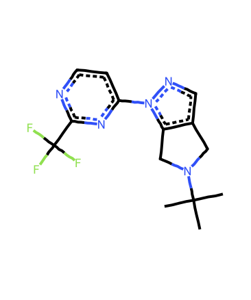 CC(C)(C)N1Cc2cnn(-c3ccnc(C(F)(F)F)n3)c2C1